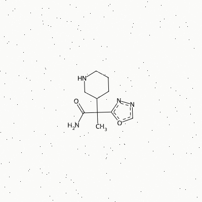 CC(C(N)=O)(c1nnco1)C1CCCNC1